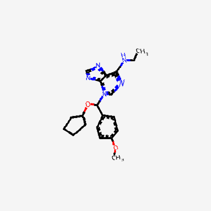 CCNc1ncn(C(OC2CCCC2)c2ccc(OC)cc2)c2ncnc1-2